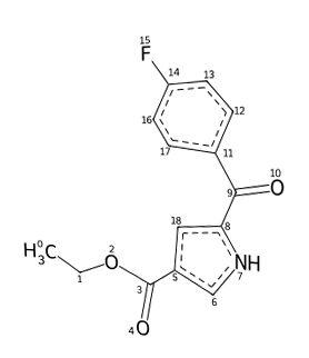 CCOC(=O)c1c[nH]c(C(=O)c2ccc(F)cc2)c1